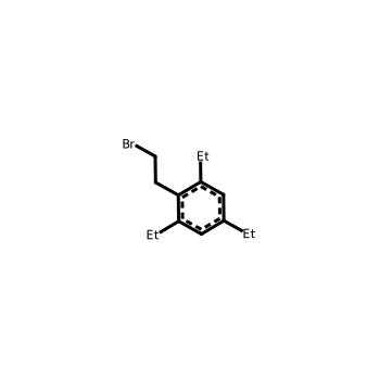 CCc1cc(CC)c(CCBr)c(CC)c1